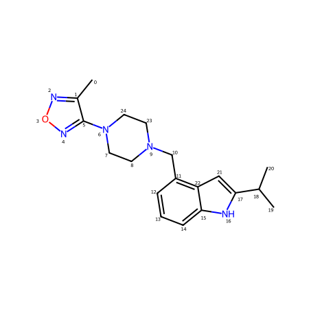 Cc1nonc1N1CCN(Cc2cccc3[nH]c(C(C)C)cc23)CC1